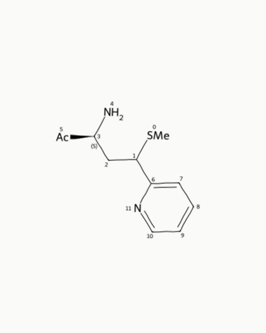 CSC(C[C@H](N)C(C)=O)c1ccccn1